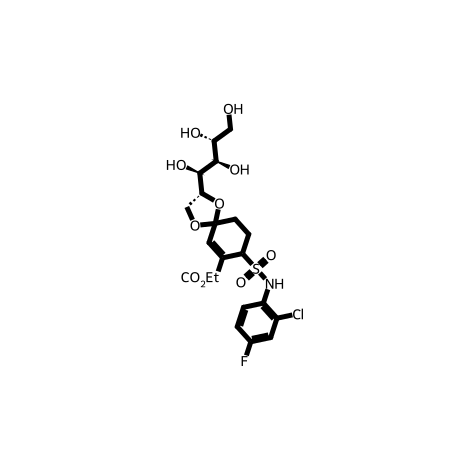 CCOC(=O)C1=CC2(CCC1S(=O)(=O)Nc1ccc(F)cc1Cl)OC[C@H]([C@@H](O)[C@H](O)[C@H](O)CO)O2